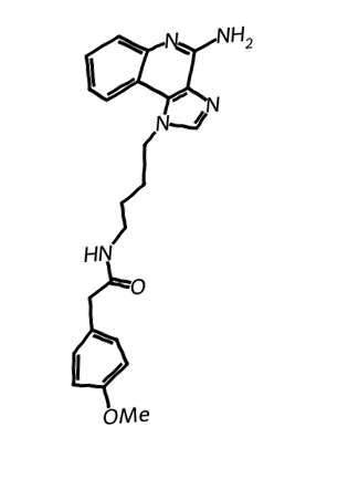 COc1ccc(CC(=O)NCCCCn2cnc3c(N)nc4ccccc4c32)cc1